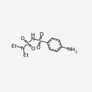 CCN(CC)S(=O)(=O)NS(=O)(=O)c1ccc(N)cc1